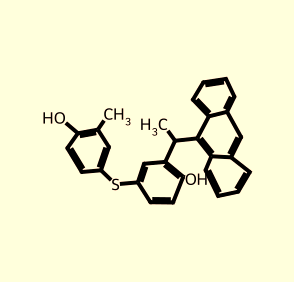 Cc1cc(Sc2ccc(O)c(C(C)c3c4ccccc4cc4ccccc34)c2)ccc1O